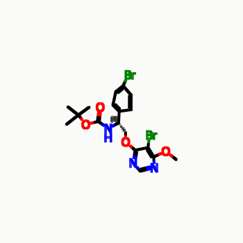 COc1ncnc(OC[C@H](NC(=O)OC(C)(C)C)c2ccc(Br)cc2)c1Br